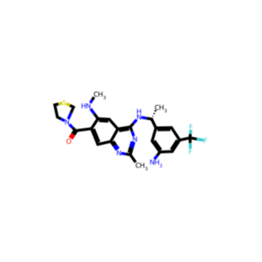 CNc1cc2c(N[C@H](C)c3cc(N)cc(C(F)(F)F)c3)nc(C)nc2cc1C(=O)N1CCSC1